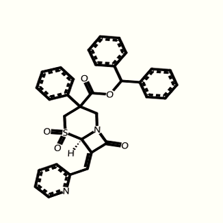 O=C1C(=Cc2ccccn2)[C@@H]2N1CC(C(=O)OC(c1ccccc1)c1ccccc1)(c1ccccc1)CS2(=O)=O